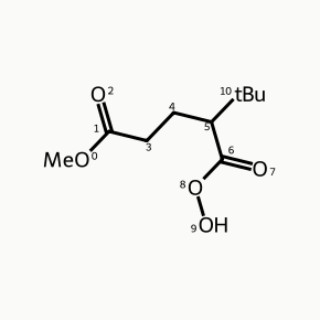 COC(=O)CCC(C(=O)OO)C(C)(C)C